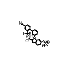 CS(=O)(=O)Nc1ccc2cc(C(N)=O)n(-c3cccc(-c4ccc(C#N)cc4C(F)(F)F)c3)c2c1